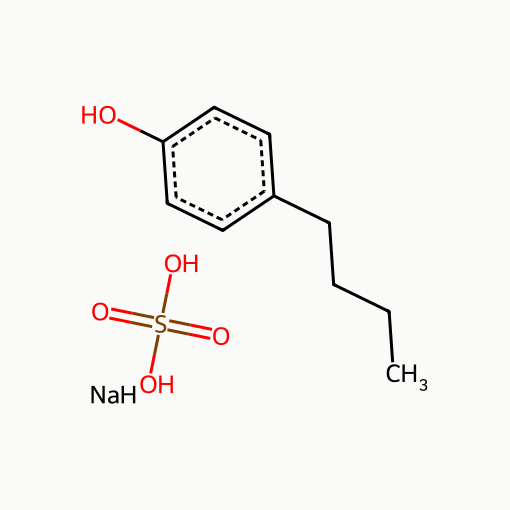 CCCCc1ccc(O)cc1.O=S(=O)(O)O.[NaH]